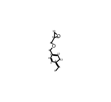 CC=C1C=CC(COCC2CO2)=CC1